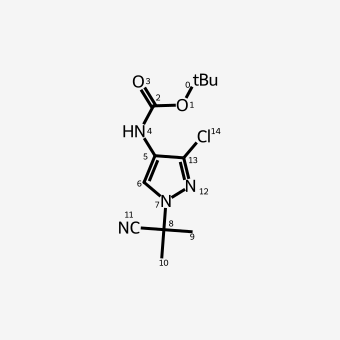 CC(C)(C)OC(=O)Nc1cn(C(C)(C)C#N)nc1Cl